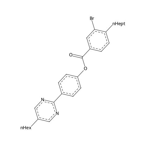 CCCCCCCc1ccc(C(=O)Oc2ccc(-c3ncc(CCCCCC)cn3)cc2)cc1Br